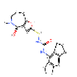 CN1CCCc2oc(SNC(=O)Nc3c4c(cc5c3CCC5)CCC4)cc2C1=O